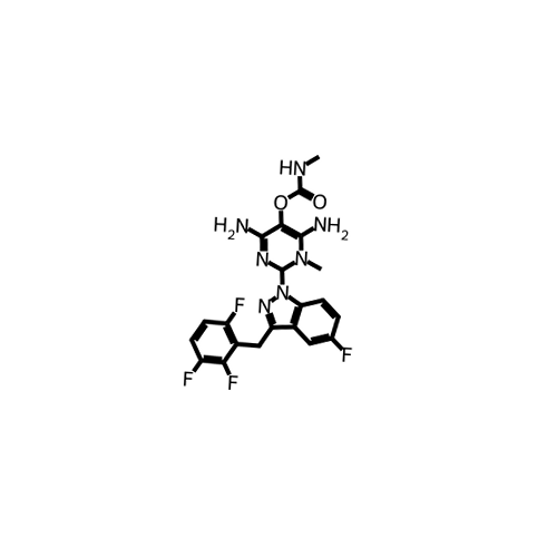 CNC(=O)OC1=C(N)N(C)C(n2nc(Cc3c(F)ccc(F)c3F)c3cc(F)ccc32)N=C1N